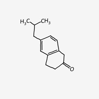 CC(C)Cc1ccc2c(c1)CCC(=O)C2